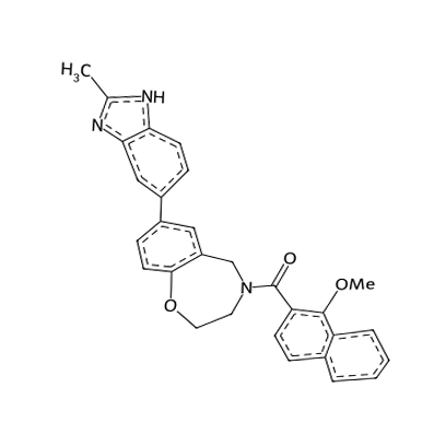 COc1c(C(=O)N2CCOc3ccc(-c4ccc5[nH]c(C)nc5c4)cc3C2)ccc2ccccc12